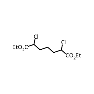 CCOC(=O)C(Cl)CCCC(Cl)C(=O)OCC